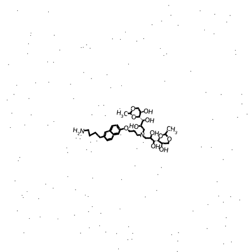 CC1OC[C@@H](O)[C@H](C(O)C(O)CN(CCCOc2ccc3cc(CCCCN)ccc3c2)CC(O)C(O)[C@@H]2OC(C)OC[C@H]2O)O1